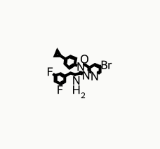 N[C@@H](Cc1cc(F)cc(F)c1)c1nc2ncc(Br)cc2c(=O)n1-c1ccc(C2CC2)cc1